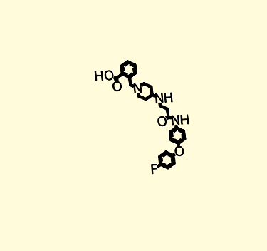 O=C(CCNC1CCN(Cc2ccccc2C(=O)O)CC1)Nc1ccc(Oc2ccc(F)cc2)cc1